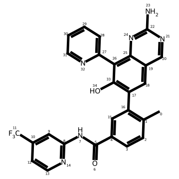 Cc1ccc(C(=O)Nc2cc(C(F)(F)F)ccn2)cc1-c1cc2cnc(N)nc2c(-c2ccccn2)c1O